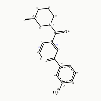 C=C(/C=C(\C=C/C)C(=O)N1CCC[C@H](C)C1)c1cccc(P)c1